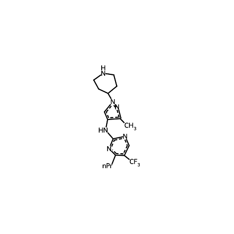 CCCc1nc(Nc2cn(C3CCNCC3)nc2C)ncc1C(F)(F)F